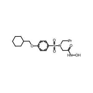 CC(C)CN(CC(=O)NO)S(=O)(=O)c1ccc(OCC2CCCCC2)cc1